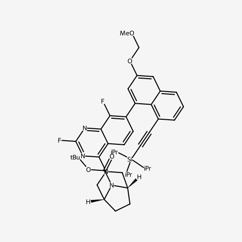 COCOc1cc(-c2ccc3c(N4C[C@H]5CC[C@@H](C4)N5C(=O)OC(C)(C)C)nc(F)nc3c2F)c2c(C#C[Si](C(C)C)(C(C)C)C(C)C)cccc2c1